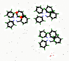 Fc1c(F)c(F)c(C[N+](c2c(F)c(F)c(F)c(F)c2F)(c2c(F)c(F)c(F)c(F)c2F)c2c(F)c(F)c(F)c(F)c2F)c(F)c1F.Fc1c(F)c(F)c(C[N+](c2c(F)c(F)c(F)c(F)c2F)(c2c(F)c(F)c(F)c(F)c2F)c2c(F)c(F)c(F)c(F)c2F)c(F)c1F.Fc1c(F)c(F)c(C[N+](c2c(F)c(F)c(F)c(F)c2F)(c2c(F)c(F)c(F)c(F)c2F)c2c(F)c(F)c(F)c(F)c2F)c(F)c1F.[O-]B([O-])[O-]